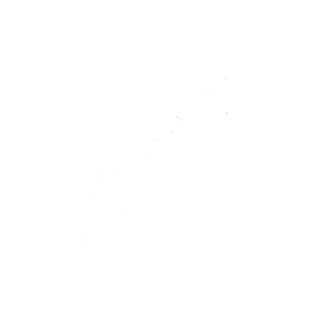 Cc1oc(-c2cccs2)nc1CCOc1ccc(C=O)cc1